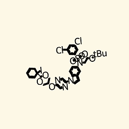 CC(C)(C)OC(=O)CN(c1ccc2c(ccn2-c2cnc(O[C@H]3CO[C@H](C4(I)C=CC=CC4)OC3)cn2)c1)S(=O)(=O)c1cc(Cl)cc(Cl)c1